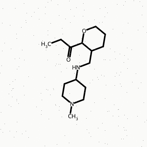 CCC(=O)C1OCCCC1CNC1CCN(C)CC1